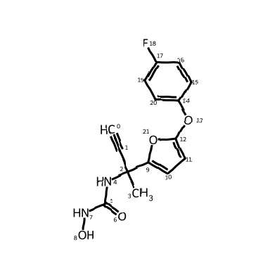 C#CC(C)(NC(=O)NO)c1ccc(Oc2ccc(F)cc2)o1